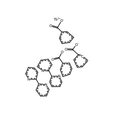 O=C([O-])c1ccccc1.O=C([O-])c1ccccc1.O=C([O-])c1ccccc1.[Tb+3].c1ccc(-c2ccccn2)nc1.c1ccc(-c2ccccn2)nc1